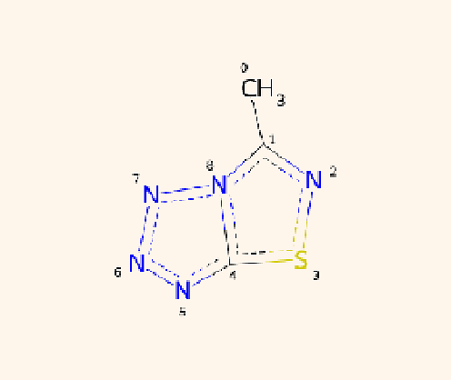 Cc1nsc2nnnn12